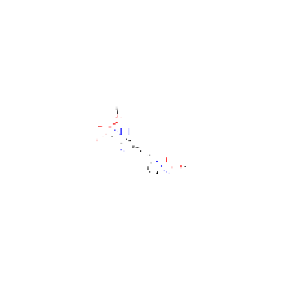 COC(=O)[C@H](Cc1ccc(/C=C/Cc2cccc(N(C)C(=O)OC(C)(C)C)n2)cn1)NC(=O)OC(C)(C)C